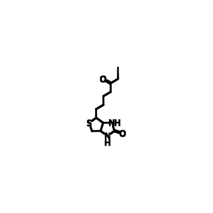 O=C(CI)CCCCC1SCC2NC(=O)NC21